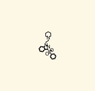 O=S(=O)(c1ccccc1)c1nn(CCN2CCCCC2)c2ccccc12